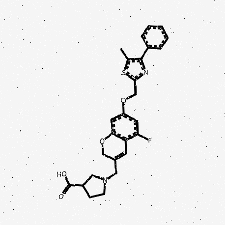 Cc1sc(COc2cc(F)c3c(c2)OCC(CN2CCC(C(=O)O)C2)=C3)nc1-c1ccccc1